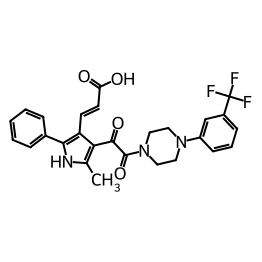 Cc1[nH]c(-c2ccccc2)c(C=CC(=O)O)c1C(=O)C(=O)N1CCN(c2cccc(C(F)(F)F)c2)CC1